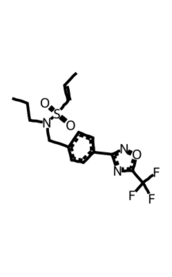 C/C=C/S(=O)(=O)N(CCC)Cc1ccc(-c2noc(C(F)(F)F)n2)cc1